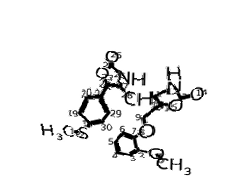 COc1ccccc1OCC1CNC(=O)O1.CSc1ccc(C2OC(=O)NC2C)cc1